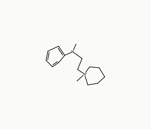 CN(CC[N+]1(C)CCCCC1)c1ccccc1